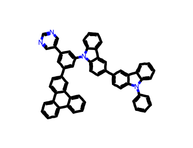 c1ccc(-n2c3ccccc3c3cc(-c4ccc5c(c4)c4ccccc4n5-c4cc(-c5cncnc5)cc(-c5ccc6c7ccccc7c7ccccc7c6c5)c4)ccc32)cc1